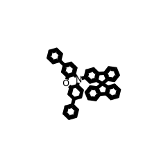 C1=C2Oc3cc(-c4ccccc4)ccc3N(c3ccc4c(c3)C3(c5ccccc5-c5ccccc53)c3ccccc3-4)C2=CCC1c1ccccc1